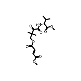 COC(=O)/C=C/C(=O)OCC(C)(C)C(=O)C(=O)N[C@H](C(=O)OC)C(C)C